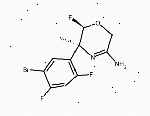 C[C@@]1(c2cc(Br)c(F)cc2F)N=C(N)CO[C@@H]1F